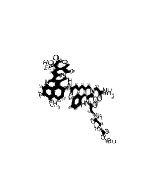 CC[C@@]1(O)C(=O)OCc2c1cc1n(c2=O)Cc2c-1nc1cc(F)c(C)c3c1c2[C@@H](NC(=O)CCCCCN(CC(N)=O)C(=O)[C@H](Cc1ccccc1)NC(=O)CNC(=O)CNC(=O)OC(C)(C)C)CC3